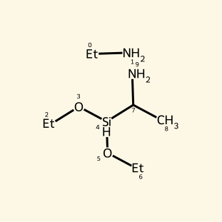 CCN.CCO[SiH](OCC)C(C)N